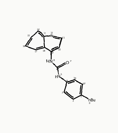 CCCCc1ccc(NC(=O)Nc2ccnc3ccccc23)cc1